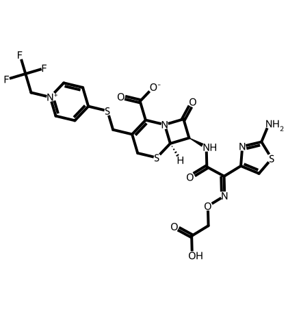 Nc1nc(/C(=N/OCC(=O)O)C(=O)N[C@@H]2C(=O)N3C(C(=O)[O-])=C(CSc4cc[n+](CC(F)(F)F)cc4)CS[C@H]23)cs1